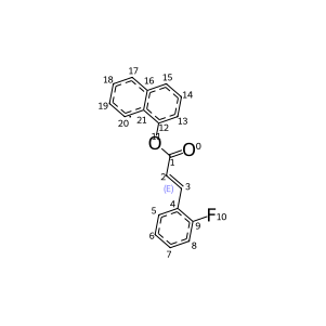 O=C(/C=C/c1ccccc1F)Oc1cccc2ccc[c]c12